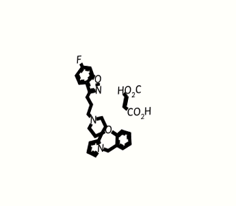 Fc1ccc2c(CCCN3CCC4(CC3)Oc3ccccc3Cn3cccc34)noc2c1.O=C(O)C=CC(=O)O